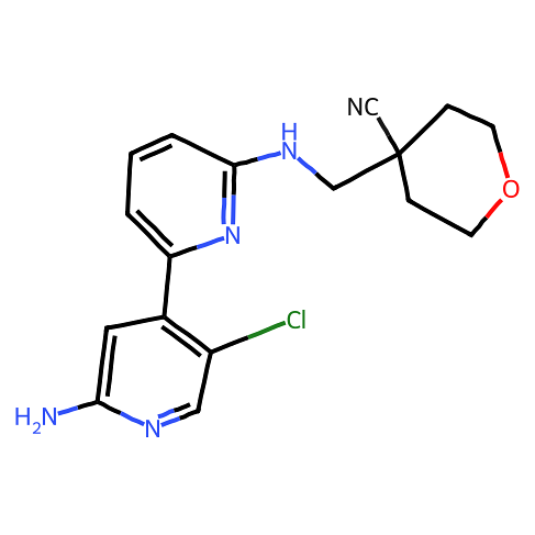 N#CC1(CNc2cccc(-c3cc(N)ncc3Cl)n2)CCOCC1